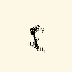 CCOC(=O)CC(N)CNC(=O)CCCCc1ccc2c(n1)N(C(=O)OC(C)(C)C)CCC2